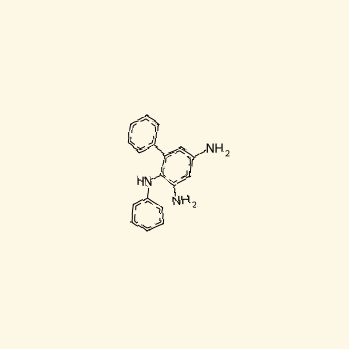 Nc1cc(N)c(Nc2ccccc2)c(-c2ccccc2)c1